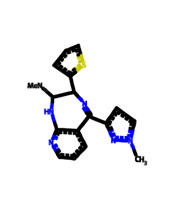 CNC1Nc2ncccc2C(c2ccn(C)n2)=NC1c1cccs1